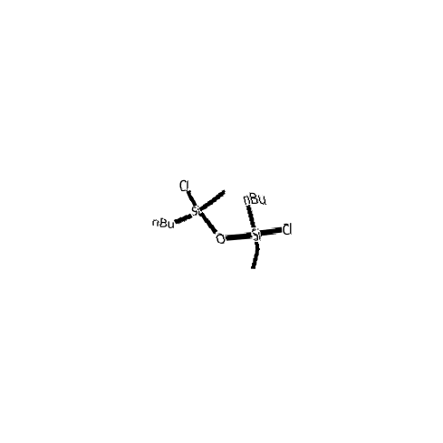 CCCC[Si](C)(Cl)O[Si](C)(Cl)CCCC